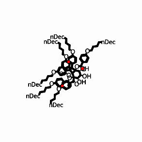 CCCCCCCCCCCCCCOc1ccc(C(=O)O[C@@]2(C(=O)c3ccc(OCCCCCCCCCCCCCC)cc3)[C@@](OC(=O)c3ccc(OCCCCCCCCCCCCCC)cc3)(C(=O)c3ccc(OCCCCCCCCCCCCCC)cc3)[C@@H](O)[C@H](O)[C@@H](O)[C@@]2(OC(=O)c2ccc(OCCCCCCCCCCCCCC)cc2)C(=O)c2ccc(OCCCCCCCCCCCCCC)cc2)cc1